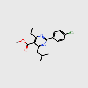 CCc1nc(-c2ccc(Cl)cc2)nc(CC(C)C)c1C(=O)OC